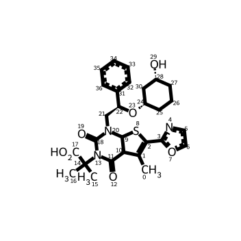 CC1=C(c2ncco2)SC2C1C(=O)N(C(C)(C)C(=O)O)C(=O)N2C[C@H](O[C@H]1CCC[C@@H](O)C1)c1ccccc1